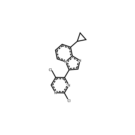 Clc1ncc(Cl)c(-c2cnc3c(C4CC4)cccn23)n1